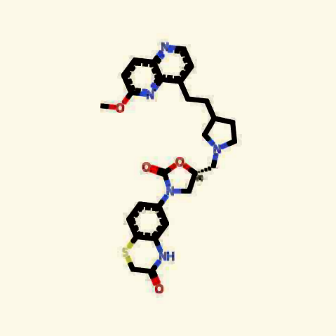 COc1ccc2nccc(CCC3CCN(C[C@@H]4CN(c5ccc6c(c5)NC(=O)CS6)C(=O)O4)C3)c2n1